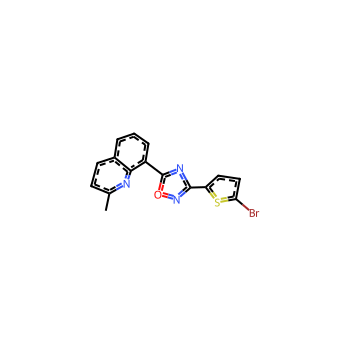 Cc1ccc2cccc(-c3nc(-c4ccc(Br)s4)no3)c2n1